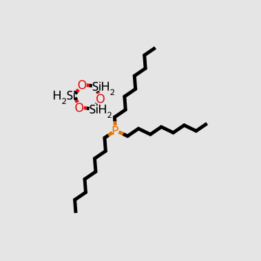 CCCCCCCCP(CCCCCCCC)CCCCCCCC.O1[SiH2]O[SiH2]O[SiH2]1